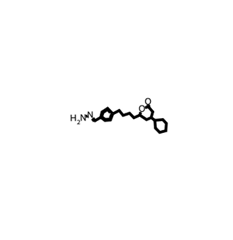 NN=Cc1ccc(CCCCC2CC(C3CCCCC3)CC(=O)O2)cc1